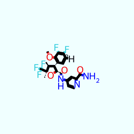 [2H]c1cc([C@@H]2[C@H](C(=O)Nc3ccnc(C(N)=O)c3)O[C@@](C)(C(F)(F)F)[C@H]2C)c(OC)c(F)c1F